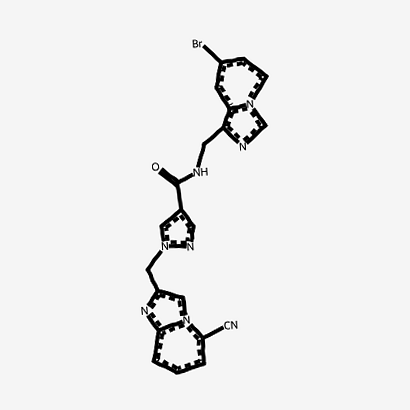 N#Cc1cccc2nc(Cn3cc(C(=O)NCc4ncn5ccc(Br)cc45)cn3)cn12